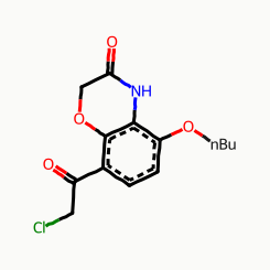 CCCCOc1ccc(C(=O)CCl)c2c1NC(=O)CO2